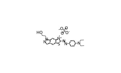 CCN(CC)c1ccc(/N=N/c2sc3cc4cnn(CCO)c4cc3[n+]2C)cc1.COS(=O)(=O)[O-]